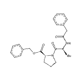 CCC(C)[C@H](NC(=O)Cc1ccccc1)C(=O)N1CCC[C@H]1C(=O)OCc1ccccc1